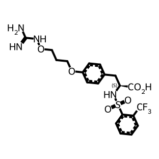 N=C(N)NOCCCOc1ccc(C[C@H](NS(=O)(=O)c2ccccc2C(F)(F)F)C(=O)O)cc1